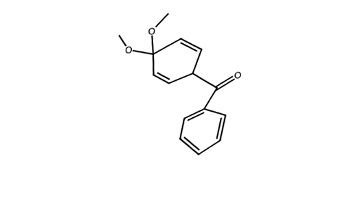 COC1(OC)C=CC(C(=O)c2ccccc2)C=C1